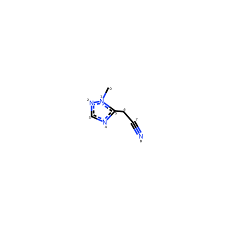 Cn1ncnc1CC#N